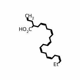 C=CCC(C/C=C\C/C=C\C/C=C\C/C=C\C/C=C\C/C=C\CC)C(=O)O